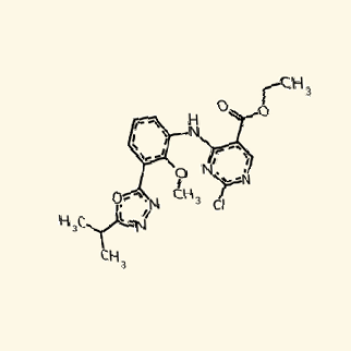 CCOC(=O)c1cnc(Cl)nc1Nc1cccc(-c2nnc(C(C)C)o2)c1OC